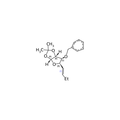 CC/C=C/[C@H]1O[C@@H]2OC(C)(C)O[C@@H]2[C@H]1OCc1ccccc1